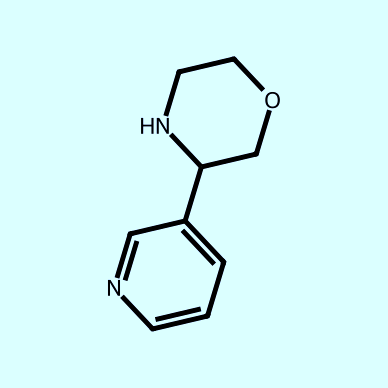 c1cncc(C2COCCN2)c1